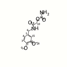 COc1ccc(CNC(=O)COC(N)=O)cc1OC